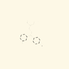 CCN(CC)CCN(c1ccc(C(C)(C)C)cc1)c1cccc(Cl)c1